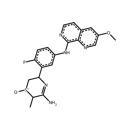 COc1cnc2c(Nc3ccc(F)c(C4C[S+]([O-])C(C)C(N)=N4)c3)nccc2c1